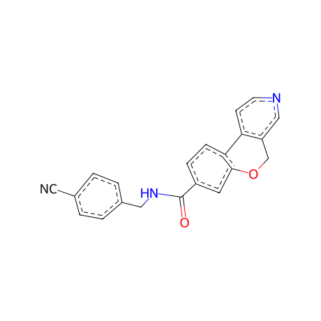 N#Cc1ccc(CNC(=O)c2ccc3c(c2)OCc2cnccc2-3)cc1